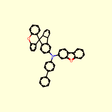 C1=CC2c3cc(N(c4ccc(-c5ccccc5)cc4)c4ccc5c(c4)oc4ccccc45)ccc3C3(c4ccccc4Oc4ccccc43)C2C=C1